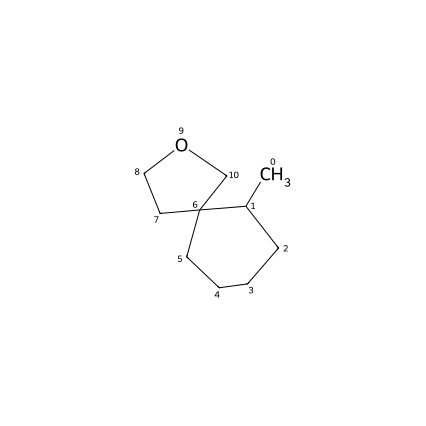 CC1CCCCC12CCOC2